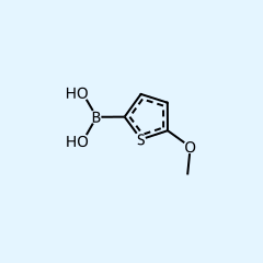 COc1ccc(B(O)O)s1